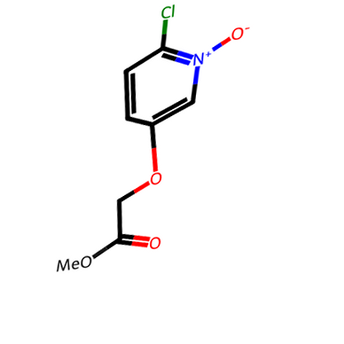 COC(=O)COc1ccc(Cl)[n+]([O-])c1